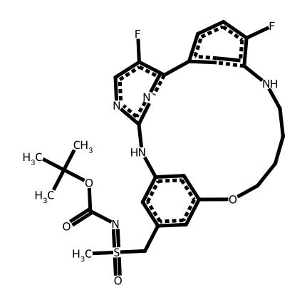 CC(C)(C)OC(=O)N=S(C)(=O)Cc1cc2cc(c1)OCCCCNc1cc(ccc1F)-c1nc(ncc1F)N2